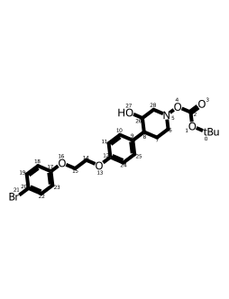 CC(C)(C)OC(=O)ON1CCC(c2ccc(OCCOc3ccc(Br)cc3)cc2)C(O)C1